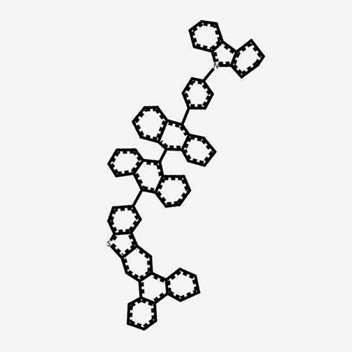 c1ccc2c(-c3c4ccccc4c(-c4ccc5sc6cc7c8ccccc8c8ccccc8c7cc6c5c4)c4ccccc34)c3ccccc3c(-c3ccc(-n4c5ccccc5c5ccccc54)cc3)c2c1